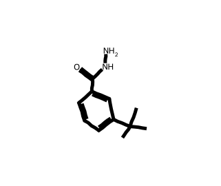 CC(C)(C)c1cccc(C(=O)NN)c1